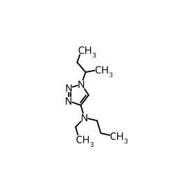 CCCN(CC)c1cn(C(C)CC)nn1